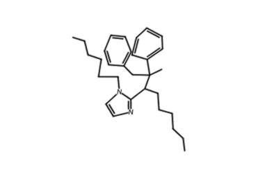 CCCCCCC(c1nccn1CCCCCC)C(C)(Cc1ccccc1)c1ccccc1